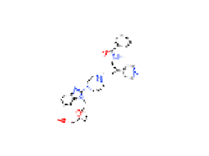 CN(CC(CCN1CCCN(c2nc3ccccc3n2Cc2ccc(CO)o2)CC1)c1ccncc1)C(=O)c1ccccc1